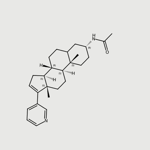 CC(=O)N[C@@H]1CC[C@@]2(C)C(CC[C@@H]3[C@@H]2CC[C@]2(C)C(c4cccnc4)=CC[C@@H]32)C1